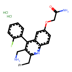 CC(C)Cc1nc2ccc(OCC(N)=O)cc2c(-c2ccccc2F)c1CN.Cl.Cl